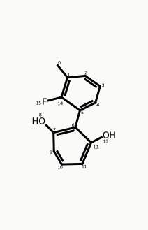 Cc1cccc(-c2c(O)cccc2O)c1F